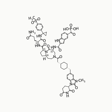 Cn1c(=O)n(C2CCC(=O)NC2=O)c2ccc(C[C@H]3CC[C@@H](CC(=O)N4CC[C@H]5CC[C@@H](C(=O)N[C@@H](CCC(N)=O)C(=O)NC6(c7ccc(S(C)(=O)=O)cc7)CC6)N5C(=O)[C@@H](NC(=O)c5cc6cc(C(=O)P(=O)(O)O)ccc6[nH]5)C4)CC3)cc21